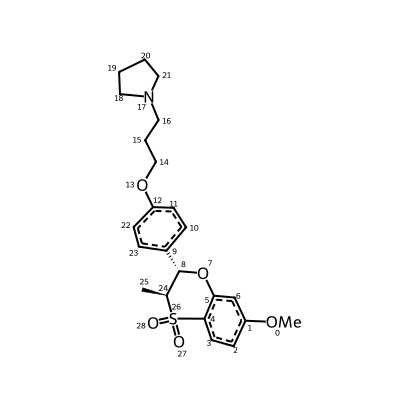 COc1ccc2c(c1)O[C@@H](c1ccc(OCCCN3CCCC3)cc1)[C@H](C)S2(=O)=O